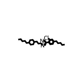 CCCCCc1ccc(-c2cnc(CCC3CCC(CCCCC)CC3)nc2)c(Cl)c1